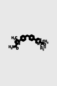 Cc1cc(C(N)=O)nn1-c1ccc(Cc2ccc(-c3cnc(C(C)(C)O)nc3)cc2)cc1